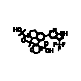 CC(C)(O)C(=O)N1CCc2cc(-c3cnc4[nH]cc(C(F)(F)F)c4c3)cc([C@@H]3COCCN3C(=O)O)c2C1C(C)(C)C